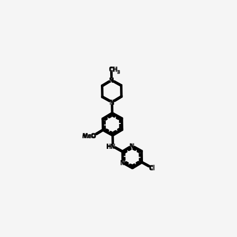 COc1cc(N2CCN(C)CC2)ccc1Nc1ncc(Cl)cn1